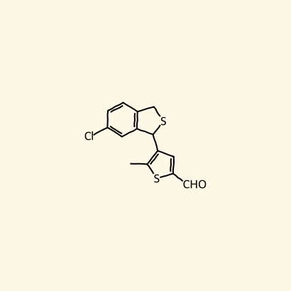 Cc1sc(C=O)cc1C1SCc2ccc(Cl)cc21